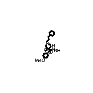 COc1ccc(S(=O)(=O)C2(C(=O)NO)CCN(CCCc3ccccc3)CC2)cc1